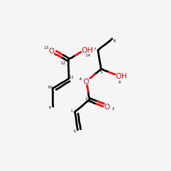 C=CC(=O)OC(O)CC.CC=CC(=O)O